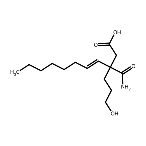 CCCCCCC=CC(CCCO)(CC(=O)O)C(N)=O